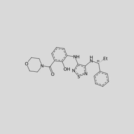 CC[C@@H](Nc1nsnc1Nc1cccc(C(=O)N2CCOCC2)c1O)c1ccccc1